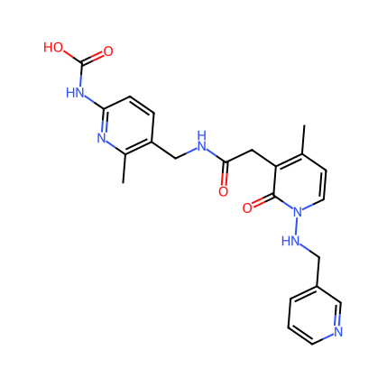 Cc1ccn(NCc2cccnc2)c(=O)c1CC(=O)NCc1ccc(NC(=O)O)nc1C